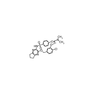 Cc1ccc(S(=O)(=O)Nc2nc3c(nc2OCc2ccc(Cl)c(OCCN(C)C)c2)CCC3)cc1